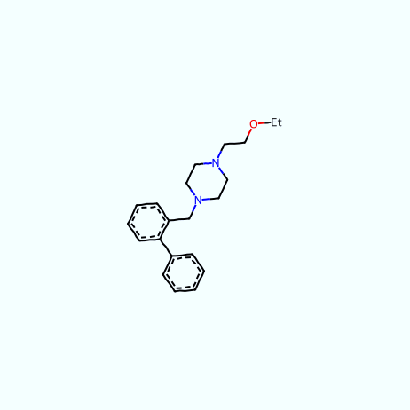 CCOCCN1CCN(Cc2ccccc2-c2ccccc2)CC1